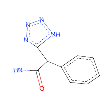 [NH]C(=O)C(c1ccccc1)c1nnn[nH]1